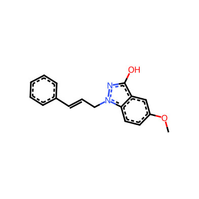 COc1ccc2c(c1)c(O)nn2CC=Cc1ccccc1